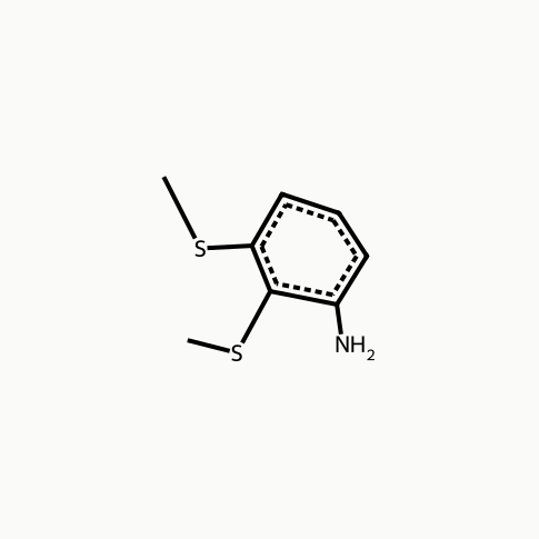 CSc1cccc(N)c1SC